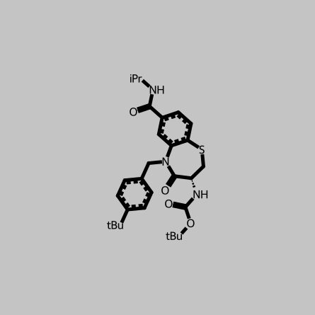 CC(C)NC(=O)c1ccc2c(c1)N(Cc1ccc(C(C)(C)C)cc1)C(=O)[C@@H](NC(=O)OC(C)(C)C)CS2